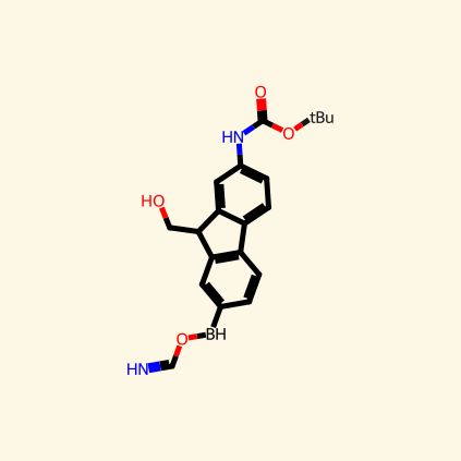 CC(C)(C)OC(=O)Nc1ccc2c(c1)C(CO)c1cc(BOC=N)ccc1-2